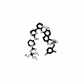 Cc1ccc2c(NS(=O)(=O)Cc3ccc(F)cc3F)c(F)ccc2c1Oc1ncccc1-c1ccnc(N[C@H]2CCCN(C(=O)OC(C)(C)C)C2)n1